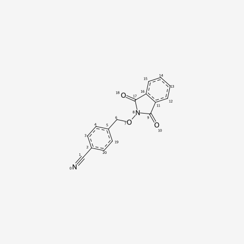 N#Cc1ccc(CON2C(=O)c3ccccc3C2=O)cc1